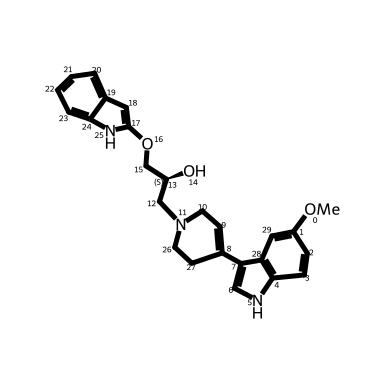 COc1ccc2[nH]cc(C3=CCN(C[C@H](O)COc4cc5ccccc5[nH]4)CC3)c2c1